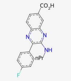 CCCNc1nc2cc(C(=O)O)ccc2nc1-c1ccc(F)cc1